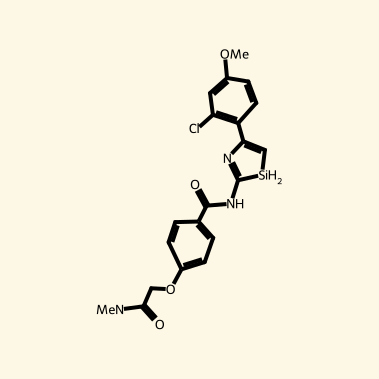 CNC(=O)COc1ccc(C(=O)NC2=NC(c3ccc(OC)cc3Cl)=C[SiH2]2)cc1